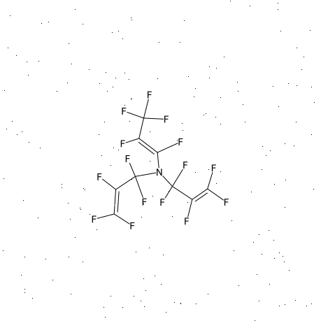 FC(F)=C(F)C(F)(F)N(C(F)=C(F)C(F)(F)F)C(F)(F)C(F)=C(F)F